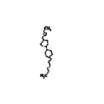 CCCC/C=C/C1CCC(C2CCC(COCC)CC2)CC1